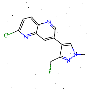 Cn1cc(-c2cnc3ccc(Cl)nc3c2)c(CF)n1